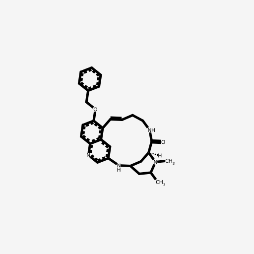 CC1CC2C[C@@H](C(=O)NCC/C=C/c3c(OCc4ccccc4)ccc4ncc(cc34)N2)N1C